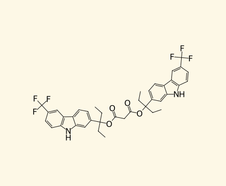 CCC(CC)(OC(=O)CC(=O)OC(CC)(CC)c1ccc2c(c1)[nH]c1ccc(C(F)(F)F)cc12)c1ccc2c(c1)[nH]c1ccc(C(F)(F)F)cc12